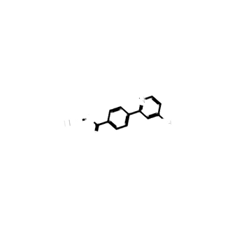 COC(=O)c1ccc(-c2cc(Br)ccn2)cc1